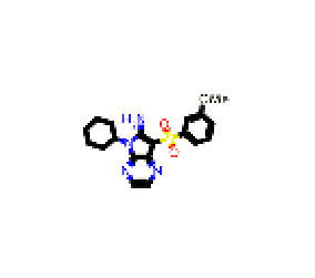 COc1cccc(S(=O)(=O)c2c(N)n(C3CCCCC3)c3nccnc23)c1